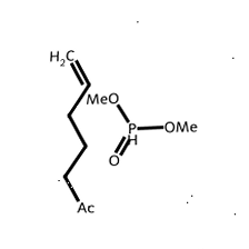 C=CCCCC(C)=O.CO[PH](=O)OC